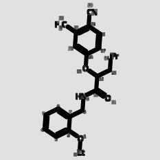 CCOc1ccccc1CNC(=O)C(CC(C)C)Oc1ccc(C#N)c(C(F)(F)F)c1